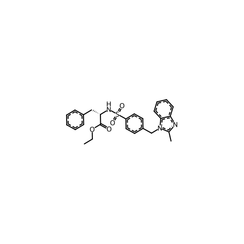 CCOC(=O)[C@H](Cc1ccccc1)NS(=O)(=O)c1ccc(Cn2c(C)nc3ccccc32)cc1